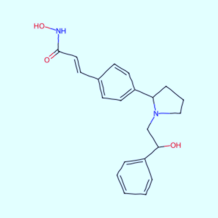 O=C(/C=C/c1ccc(C2CCCN2CC(O)c2ccccc2)cc1)NO